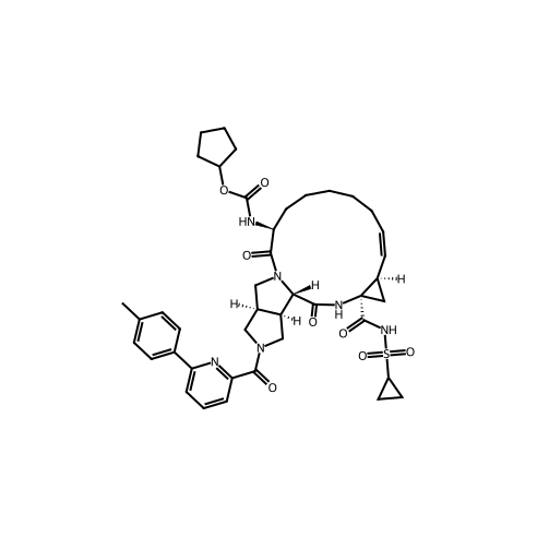 Cc1ccc(-c2cccc(C(=O)N3C[C@H]4CN5C(=O)[C@@H](NC(=O)OC6CCCC6)CCCCC/C=C\[C@H]6C[C@@]6(C(=O)NS(=O)(=O)C6CC6)NC(=O)[C@@H]5[C@H]4C3)n2)cc1